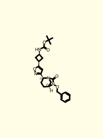 CC(C)(C)OC(=O)N[C@H]1C[C@@H](c2cc([C@@H]3CC[C@H]4CN3C(=O)N4OCc3ccccc3)no2)C1